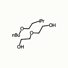 CCCCOCCC(C)C.OCCOCCO